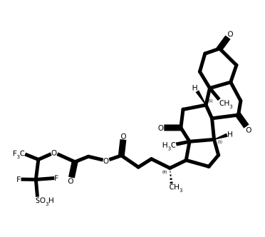 C[C@H](CCC(=O)OCC(=O)OC(C(F)(F)F)C(F)(F)S(=O)(=O)O)C1CC[C@H]2C3C(=O)CC4CC(=O)CCC4(C)[C@H]3CC(=O)C12C